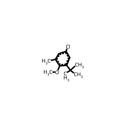 COc1c(C)cc(Cl)cc1C(C)(C)C